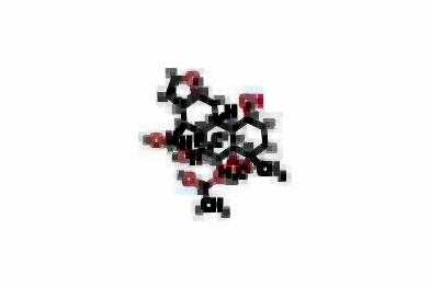 CC(=O)O[C@H]1[C@@H]2OC(=O)[C@@H]3c4ccoc4C[C@@H]([C@@H]23)[C@@]2(C)[C@@H](O)CCC(C)(C)[C@]12O